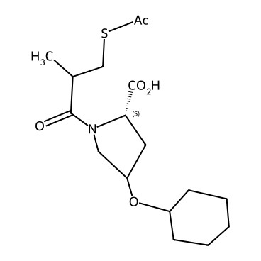 CC(=O)SCC(C)C(=O)N1CC(OC2CCCCC2)C[C@H]1C(=O)O